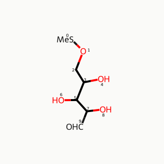 CSOCC(O)C(O)C(O)C=O